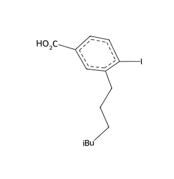 CCC(C)CCCc1cc(C(=O)O)ccc1I